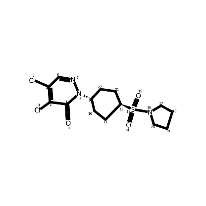 O=c1c(Cl)c(Cl)cnn1[C@H]1CC[C@H](S(=O)(=O)N2CCCC2)CC1